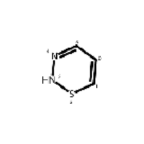 C1=CSNN=C1